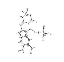 CC[n+]1c(C=C2C=C(C)CC(C)(C)C2)sc2cc(SC)c(SC)cc21.F[B-](F)(F)F